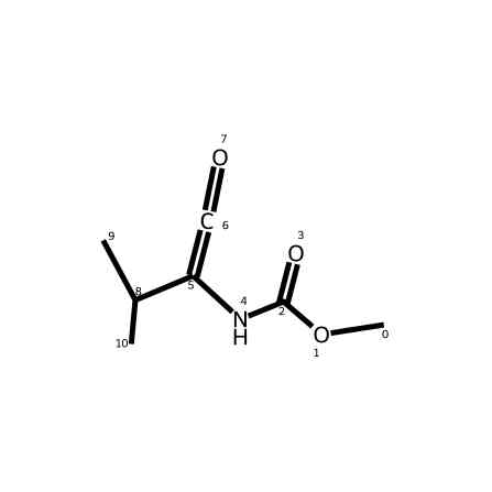 COC(=O)NC(=C=O)C(C)C